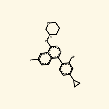 Oc1cc(C2CC2)ccc1-c1nnc(N[C@@H]2CCCNC2)c2cc(Br)ccc12